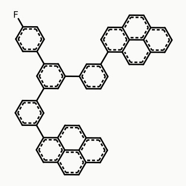 Fc1ccc(-c2cc(-c3cccc(-c4ccc5ccc6cccc7ccc4c5c67)c3)cc(-c3cccc(-c4ccc5ccc6cccc7ccc4c5c67)c3)c2)cc1